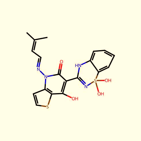 CC(C)=CC=Nn1c(=O)c(C2=NS(O)(O)c3ccccc3N2)c(O)c2sccc21